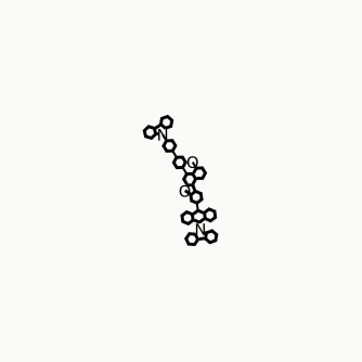 c1ccc2c(-n3c4ccccc4c4ccccc43)c3ccccc3c(-c3ccc4c(c3)oc3cc5c6c(cccc6c34)Oc3cc(-c4ccc(-n6c7ccccc7c7ccccc76)cc4)ccc3-5)c2c1